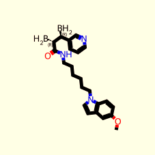 B[C@@H](C(=O)NCCCCCCn1ccc2cc(OC)ccc21)[C@@H](B)c1cccnc1